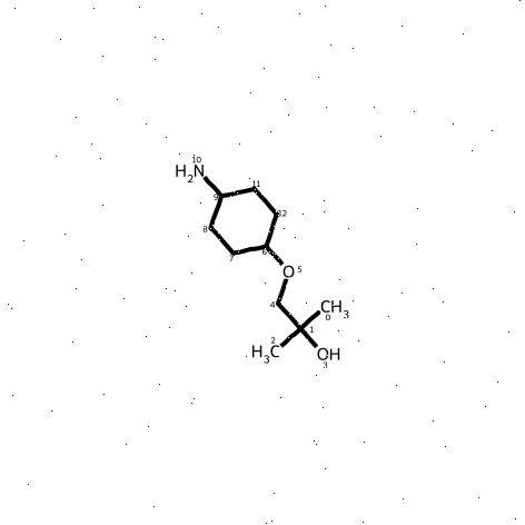 CC(C)(O)COC1CCC(N)CC1